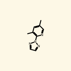 Cc1cnc(-n2nccn2)c(C)c1